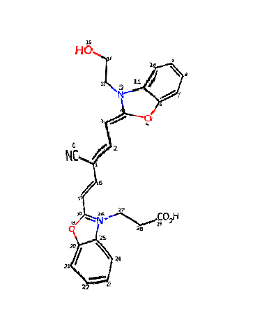 N#CC(=C\C=C1/Oc2ccccc2N1CCO)/C=C/c1oc2ccccc2[n+]1CCC(=O)O